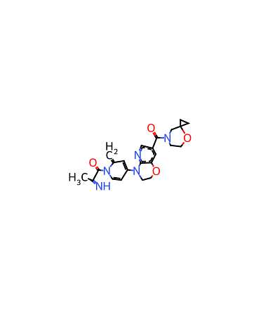 C=C1C=C(N2CCOc3cc(C(=O)N4CCOC5(CC5)C4)cnc32)C=CN1C(=O)C(C)=N